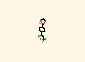 F/C(=C\C(F)(F)F)C1CCC(C2OCCCO2)CC1